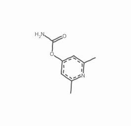 Cc1cc(OC(N)=O)cc(C)n1